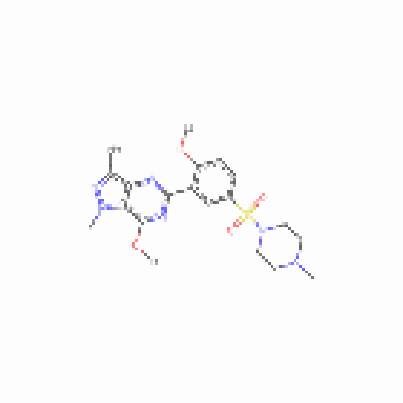 CCCc1nn(C)c2c(OCC)nc(-c3cc(S(=O)(=O)N4CCN(C)CC4)ccc3OCC)nc12